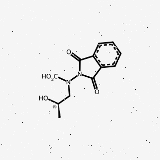 C[C@@H](O)CN(C(=O)O)N1C(=O)c2ccccc2C1=O